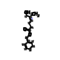 C/C(=C/CCC(=O)OCc1ccccc1)CO